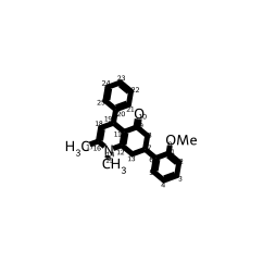 COc1ccccc1C1CC(=O)C2=C(C1)N(C)C(C)=CC2c1ccccc1